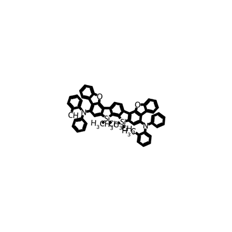 Cc1ccccc1N(c1ccccc1)c1cc2c(c3oc4ccccc4c13)-c1ccc3c(c1[Si]2(C)C)[Si](C)(C)c1cc(N(c2ccccc2)c2ccccc2C)c2c(oc4ccccc42)c1-3